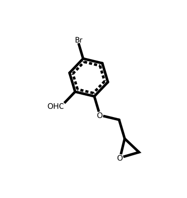 O=Cc1cc(Br)ccc1OCC1CO1